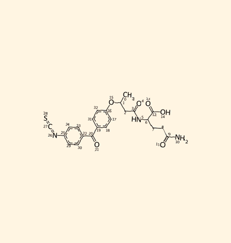 CC(CC(=O)NC(CCC(N)=O)C(=O)O)Oc1ccc(C(=O)c2ccc(N=C=S)cc2)cc1